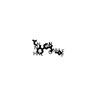 CC(C)Cc1ncc2c(n1)CN[C@H](C)C=C2c1ccn2ncc(C(=O)NCC3CC(F)(F)C3)c2c1